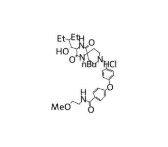 CCCCN1C(=O)[C@@H]([C@H](O)C(CC)CC)NC(=O)C12CCN(Cc1ccc(Oc3ccc(C(=O)NCCOC)cc3)cc1)CC2.Cl